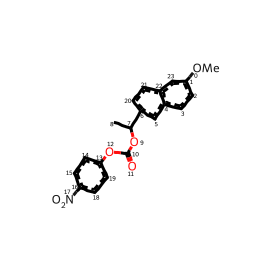 COc1ccc2cc(C(C)OC(=O)Oc3ccc([N+](=O)[O-])cc3)ccc2c1